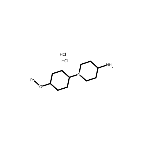 CC(C)OC1CCC(N2CCC(N)CC2)CC1.Cl.Cl